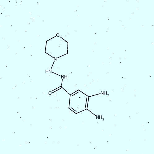 Nc1ccc(C(=O)NNN2CCOCC2)cc1N